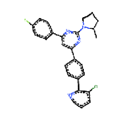 CC1CCCN1c1nc(-c2ccc(F)cc2)cc(-c2ccc(-c3ncccc3Cl)cc2)n1